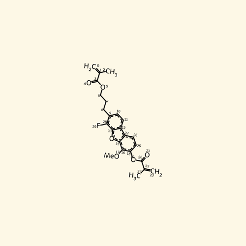 C=C(C)C(=O)OCCCc1ccc2c(oc3c(OC)c(OC(=O)C(=C)C)ccc32)c1F